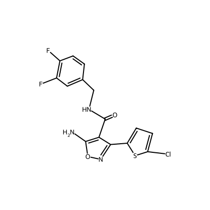 Nc1onc(-c2ccc(Cl)s2)c1C(=O)NCc1ccc(F)c(F)c1